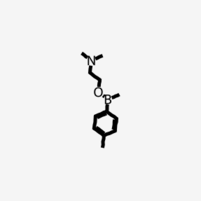 CB(OCCN(C)C)c1ccc(C)cc1